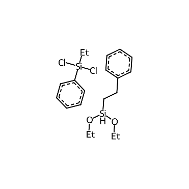 CCO[SiH](CCc1ccccc1)OCC.CC[Si](Cl)(Cl)c1ccccc1